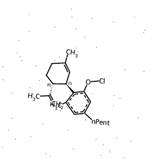 C=C(C)[C@@H]1CCC(C)=C[C@H]1c1c(C)cc(CCCCC)cc1OCl